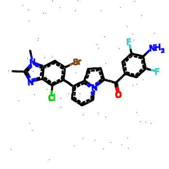 Cc1nc2c(Cl)c(-c3cccn4c(C(=O)c5cc(F)c(N)c(F)c5)ccc34)c(Br)cc2n1C